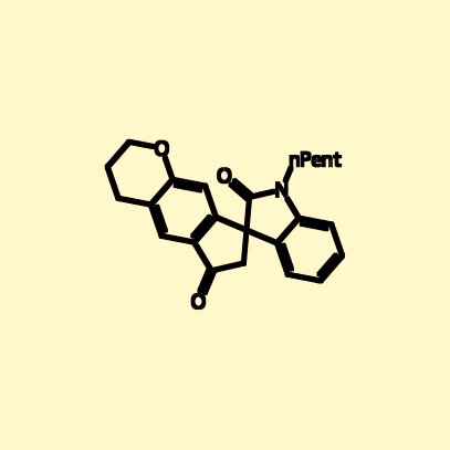 CCCCCN1C(=O)C2(CC(=O)c3cc4c(cc32)OCCC4)c2ccccc21